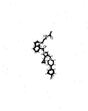 CC(=O)NCCCn1ccc2cccc(C(=O)N3CC(CN4CCC(c5ccc(F)cc5)CC4)C(C4CC4)C3)c21